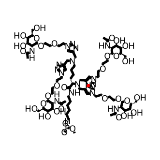 CO[PH](=O)OCCCCCCNC(=O)[C@H](CCCCN(Cc1cn(CCOCCO[C@@H]2O[C@H](CO)[C@H](O)[C@H](O)[C@H]2NC(C)=O)nn1)Cc1cn(CCOCCO[C@@H]2O[C@H](CO)[C@H](O)[C@H](O)[C@H]2NC(C)=O)nn1)N(Cc1cn(CCOCCO[C@@H]2O[C@H](CO)[C@H](O)[C@H](O)[C@H]2NC(C)=O)nn1)Cc1cn(CCOCCO[C@@H]2O[C@H](CO)[C@H](O)[C@H](O)[C@H]2NC(C)=O)nn1